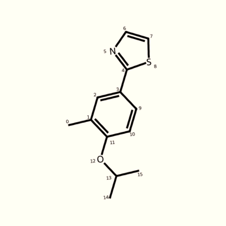 Cc1cc(-c2nccs2)ccc1OC(C)C